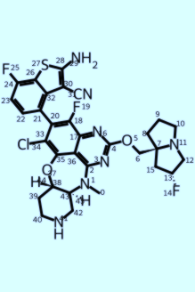 CN1c2nc(OC[C@@]34CCCN3C[C@H](F)C4)nc3c(F)c(-c4ccc(F)c5sc(N)c(C#N)c45)c(Cl)c(c23)O[C@H]2CCNC[C@@H]21